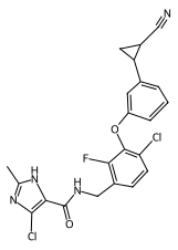 Cc1nc(Cl)c(C(=O)NCc2ccc(Cl)c(Oc3cccc(C4CC4C#N)c3)c2F)[nH]1